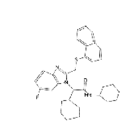 O=C(NC1CCCCC1)C(C1CCCCC1)n1c(CSc2cccc3ccccc23)nc2ccc(F)cc21